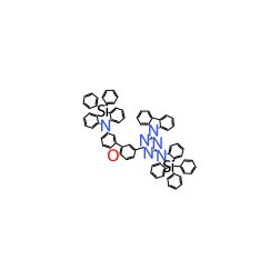 c1ccc([Si]2(c3ccccc3)c3ccccc3N(c3ccc4oc5ccc(-c6nc(N7c8ccccc8[Si](c8ccccc8)(c8ccccc8)c8ccccc87)nc(-n7c8ccccc8c8ccccc87)n6)cc5c4c3)c3ccccc32)cc1